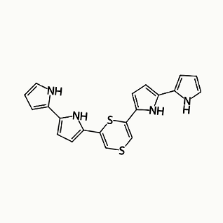 C1=C(c2ccc(-c3ccc[nH]3)[nH]2)SC(c2ccc(-c3ccc[nH]3)[nH]2)=CS1